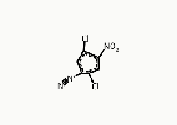 N#[N+]c1cc(Cl)c([N+](=O)[O-])cc1Cl